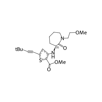 COCCN1CCCC[C@H](Nc2cc(C#CC(C)(C)C)sc2C(=O)OC)C1=O